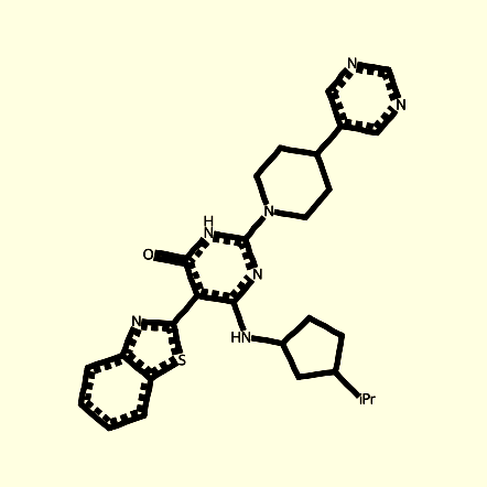 CC(C)C1CCC(Nc2nc(N3CCC(c4cncnc4)CC3)[nH]c(=O)c2-c2nc3ccccc3s2)C1